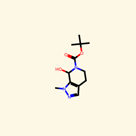 Cn1ncc2c1C(O)N(C(=O)OC(C)(C)C)CC2